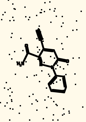 C#Cc1cc(=O)n(-c2ccccc2)nc1C(N)=O